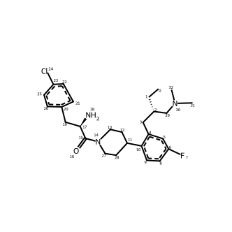 CC[C@@H](Cc1cc(F)ccc1C1CCN(C(=O)[C@H](N)Cc2ccc(Cl)cc2)CC1)CN(C)C